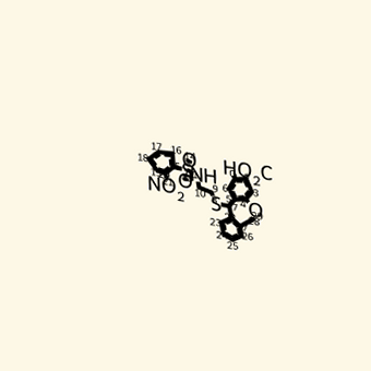 O=C(O)c1ccc2c(c1)C(SCCNS(=O)(=O)c1ccccc1[N+](=O)[O-])c1ccccc1CO2